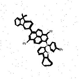 CC(C)c1ccc(N(c2cc(C(C)C)c3ccc4c(-c5ccc6c(c5)-c5ccccc5C6(C)C)cc(C(C)C)c5ccc2c3c45)c2cccc3c2oc2ccccc23)cc1